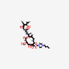 CCCCN1CCN(C(=O)OC2/C=C/C(C)C(/C(C)=C/C=C/C(C)(O)CC3OC3C(C)C(O)CC)OC(=O)CC(O)CCC2(C)O)CC1